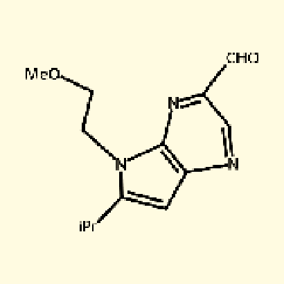 COCCn1c(C(C)C)cc2ncc(C=O)nc21